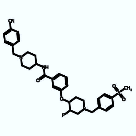 CS(=O)(=O)c1ccc(CN2CCC(Oc3cccc(C(=O)NC4CCN(Cc5ccc(C#N)cc5)CC4)c3)C(F)C2)cc1